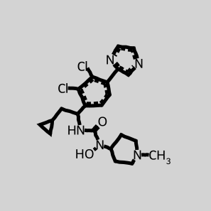 CN1CCC(N(O)C(=O)NC(CC2CC2)c2ccc(-c3cnccn3)c(Cl)c2Cl)CC1